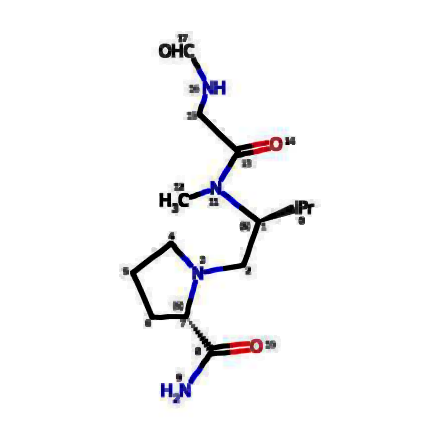 CC(C)[C@@H](CN1CCC[C@H]1C(N)=O)N(C)C(=O)CNC=O